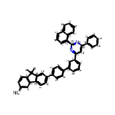 CC1(C)c2ccc(C#N)cc2-c2ccc(-c3ccc(-c4cccc(-c5cc(-c6ccccc6)nc(-c6cccc7ccccc67)n5)c4)cc3)cc21